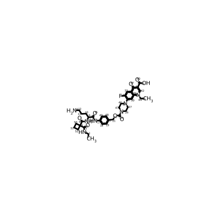 CCNC(=O)C1(C(=O)NC(CCCN)C(=O)Nc2ccc(COC(=O)N3CCN(c4cc5c(cc4F)c(=O)c(C(=O)O)cn5CC)CC3)cc2)CCC1